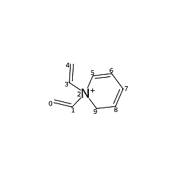 C=C[N+]1(C=C)C=CC=CC1